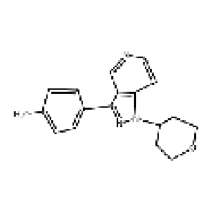 Cc1ccc(-c2nn(C3CCOCC3)c3ccncc23)cc1